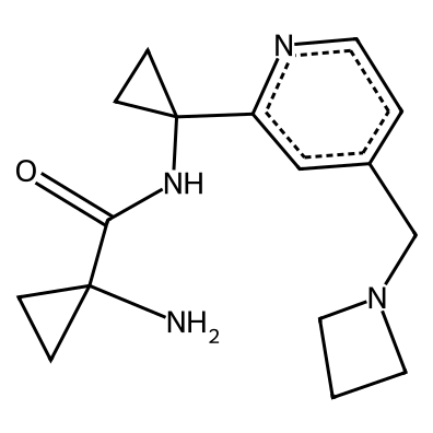 NC1(C(=O)NC2(c3cc(CN4CCC4)ccn3)CC2)CC1